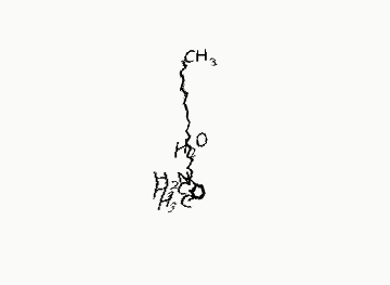 CCCCCCCCCCCCCCCCCCCC(N)c1cccc(C)c1C.O